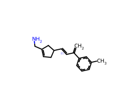 C=C(/C=C/C1CC=C(CN)C1)c1cccc(C)c1